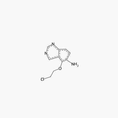 Nc1ccc2ncncc2c1OCCCl